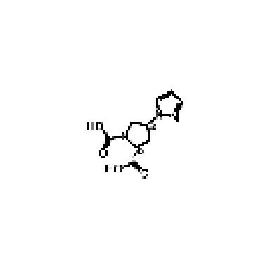 O=C(O)[C@H]1C[C@H](n2cccn2)CN1C(=O)O